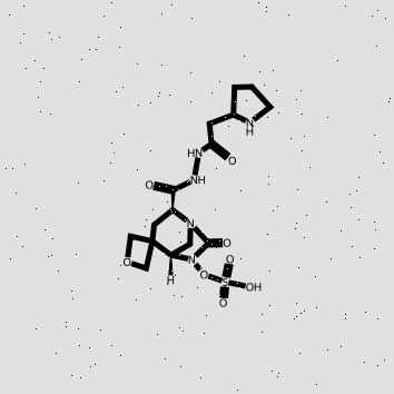 O=C(CC1CCCN1)NNC(=O)[C@@H]1CC2(COC2)[C@@H]2CN1C(=O)N2OS(=O)(=O)O